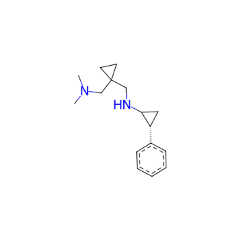 CN(C)CC1(CNC2C[C@@H]2c2ccccc2)CC1